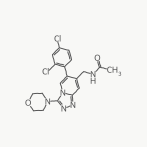 CC(=O)NCc1cc2nnc(N3CCOCC3)n2cc1-c1ccc(Cl)cc1Cl